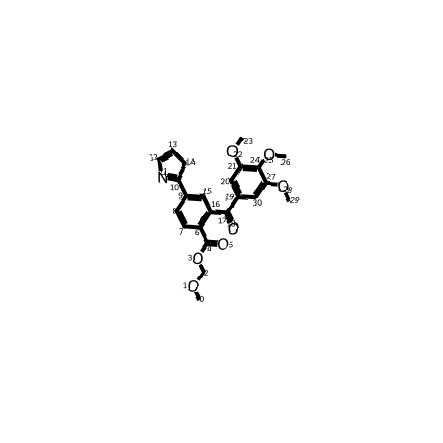 COCOC(=O)c1ccc(C2=NC=CC2)cc1C(=O)c1cc(OC)c(OC)c(OC)c1